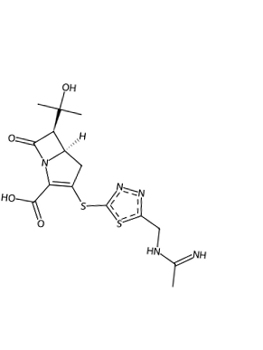 CC(=N)NCc1nnc(SC2=C(C(=O)O)N3C(=O)[C@@H](C(C)(C)O)[C@H]3C2)s1